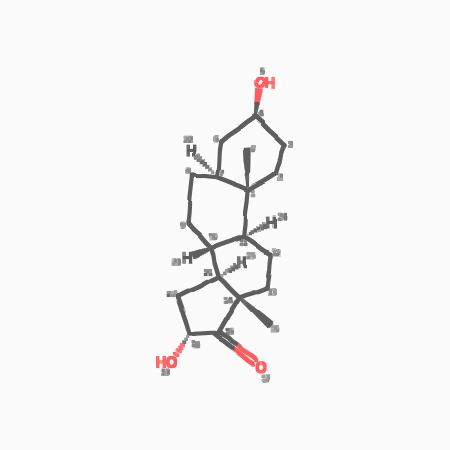 C[C@]12CC[C@H](O)C[C@@H]1CC[C@@H]1[C@@H]2CC[C@]2(C)C(=O)[C@H](O)C[C@@H]12